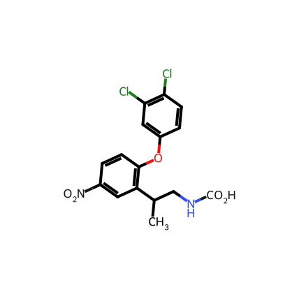 CC(CNC(=O)O)c1cc([N+](=O)[O-])ccc1Oc1ccc(Cl)c(Cl)c1